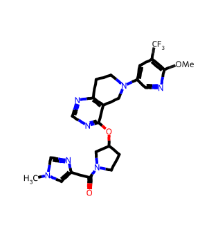 COc1ncc(N2CCc3ncnc(OC4CCN(C(=O)c5cn(C)cn5)C4)c3C2)cc1C(F)(F)F